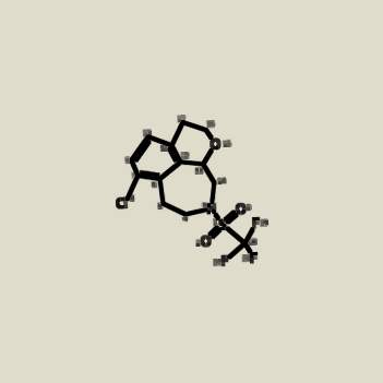 O=S(=O)(N1CCc2c(Cl)ccc3c2C(C1)OCC3)C(F)(F)F